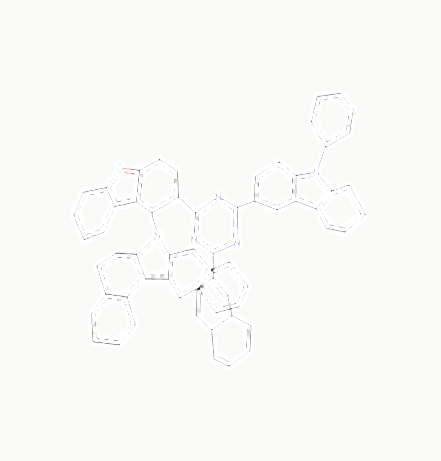 C1=CC2C=CC(c3nc(-c4ccc5c(c4)c4ccccc4n5-c4ccccc4)nc(-c4ccc5oc6ccccc6c5c4-n4c5cc6ccccc6cc5c5c6ccccc6ccc54)n3)=CC2C=C1